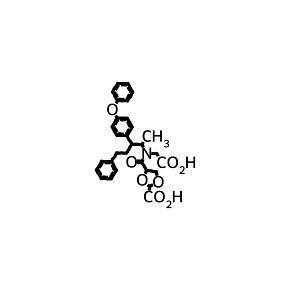 CC(C(CCc1ccccc1)c1ccc(Oc2ccccc2)cc1)N(CC(=O)O)C(=O)C1COC(C(=O)O)O1